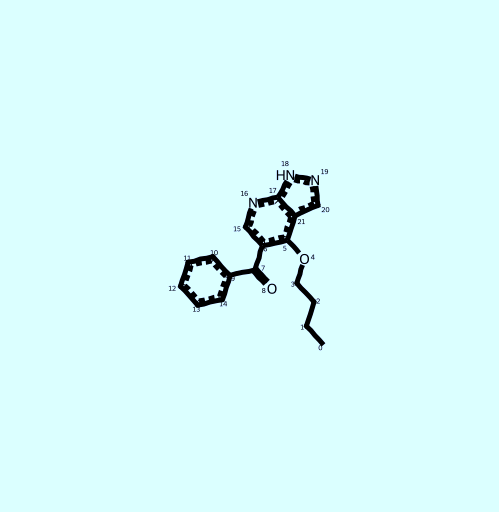 CCCCOc1c(C(=O)c2ccccc2)cnc2[nH]ncc12